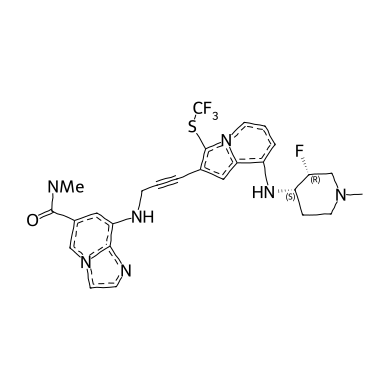 CNC(=O)c1cc(NCC#Cc2cc3c(N[C@H]4CCN(C)C[C@H]4F)cccn3c2SC(F)(F)F)c2nccn2c1